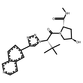 CNC(=O)[C@@H]1C[C@@H](O)CN1C(=O)[C@@H](n1cc(-c2ccc3cnccc3c2)nn1)C(C)(C)C